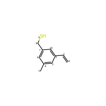 C=Cc1cc(C)cc(CS)c1